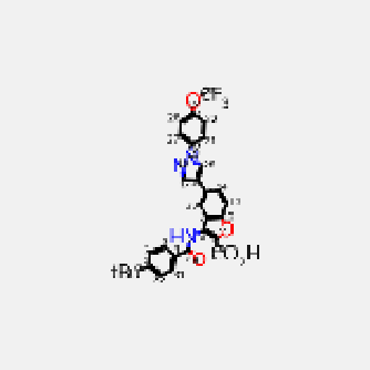 CC(C)(C)c1ccc(C(=O)Nc2c(C(=O)O)oc3ccc(-c4cnn(-c5ccc(OC(F)(F)F)cc5)c4)cc23)cc1